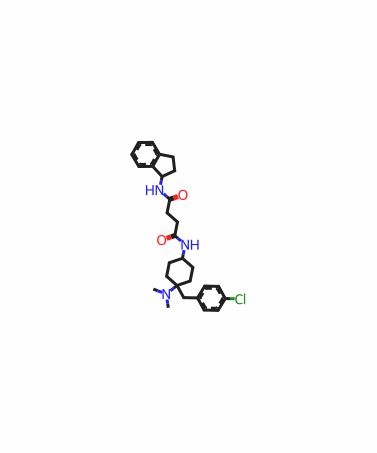 CN(C)C1(Cc2ccc(Cl)cc2)CCC(NC(=O)CCC(=O)NC2CCc3ccccc32)CC1